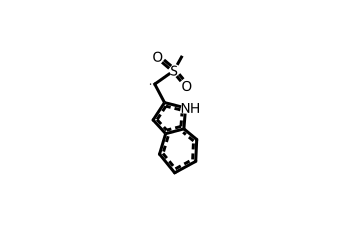 CS(=O)(=O)[CH]c1cc2ccccc2[nH]1